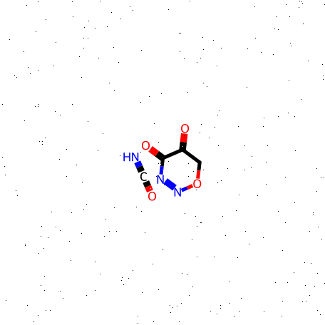 N=C=O.O=C1CON=NC1=O